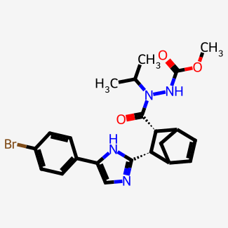 COC(=O)NN(C(=O)[C@@H]1C2C=CC(C2)[C@@H]1c1ncc(-c2ccc(Br)cc2)[nH]1)C(C)C